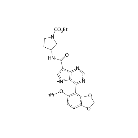 CCCOc1ccc2c(c1-c1ncnc3c(C(=O)N[C@@H]4CCN(C(=O)OCC)C4)c[nH]c13)OCO2